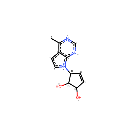 Cc1ncnc2c1ccn2C1C=CC(O)C1O